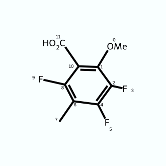 COc1c(F)c(F)c(C)c(F)c1C(=O)O